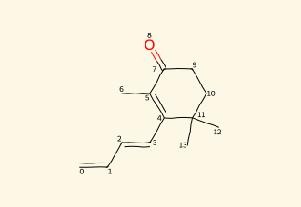 C=CC=CC1=C(C)C(=O)CCC1(C)C